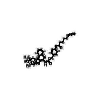 CCOCc1nc2c(NC(=O)OCc3ccc(OC(=O)CCCCN=[N+]=[N-])cc3)nc3ccccc3c2n1CC(C)(C)O